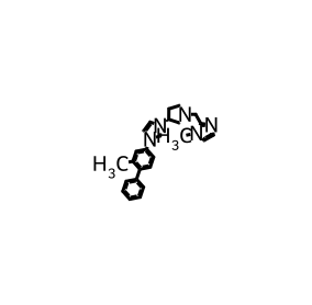 Cc1cc(N2C=CN([C@H]3CCN(Cc4nccn4C)C3)C2)ccc1-c1ccccc1